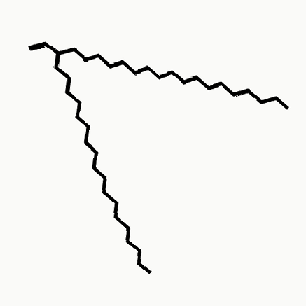 C=C[C](CCCCCCCCCCCCCCCCCC)CCCCCCCCCCCCCCCCCC